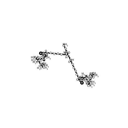 CC[C@H](C)C([C@@H](CC(=O)N1CCC[C@H]1[C@H](OC)[C@@H](C)C(=O)N[C@@H](Cc1ccccc1)C(=O)NCCOCCOCCOCCOCCC(=O)NCCCC[C@H](NC(=O)CCOCCOCCOCCOCCNC(=O)[C@H](Cc1ccccc1)NC(=O)[C@H](C)[C@@H](OC)[C@@H]1CCCN1C(=O)C[C@@H](OC)C([C@@H](C)CC)N(C)C(=O)CNC(=O)C(C(C)C)N(C)C)C(=O)NCCOCCON)OC)N(C)C(=O)CNC(=O)C(C(C)C)N(C)C